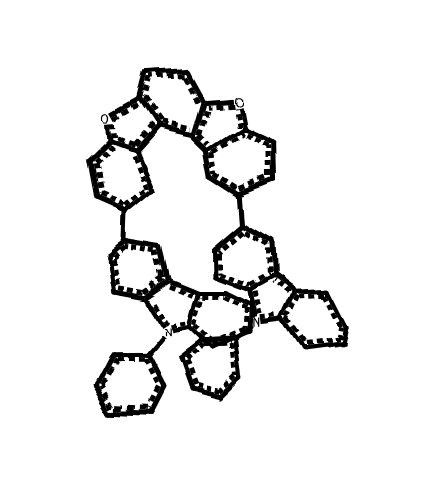 c1ccc(-n2c3ccccc3c3cc(-c4ccc5oc6ccc7oc8ccc(-c9ccc%10c(c9)c9ccccc9n%10-c9ccccc9)cc8c7c6c5c4)ccc32)cc1